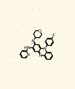 Fc1ccc(-n2c3c/c(=N\C4CCOCC4)c(Nc4ccccn4)cc-3nc3ccccc32)cc1